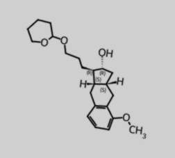 COc1cccc2c1C[C@H]1C[C@@H](O)[C@H](CCCOC3CCCCO3)[C@H]1C2